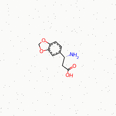 N[C@H](CC(=O)O)c1ccc2c(c1)OCO2